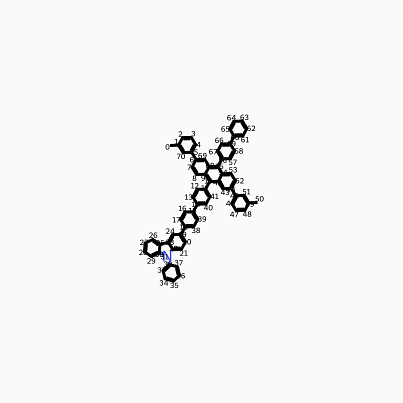 Cc1cccc(-c2ccc3c(-c4ccc(-c5ccc(-c6ccc7c(c6)c6ccccc6n7-c6ccccc6)cc5)cc4)c4cc(-c5cccc(C)c5)ccc4c(-c4ccc(-c5ccccc5)cc4)c3c2)c1